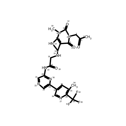 CC(=O)Cn1c(=O)c2c(n(C)c1=O)N[C@@H]2NCC(=O)Nc1cncc(-c2cnc(C(F)(F)F)c(C)c2)n1